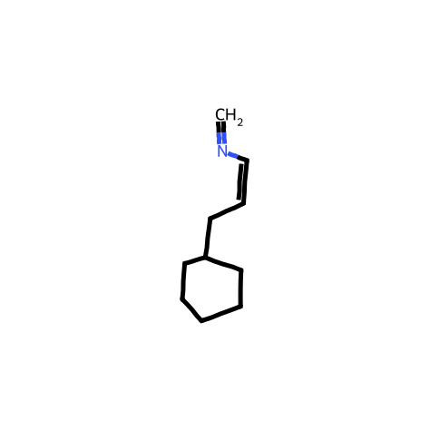 C=N/C=C\CC1CCCCC1